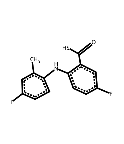 Cc1cc(I)ccc1Nc1ccc(F)cc1C(=O)S